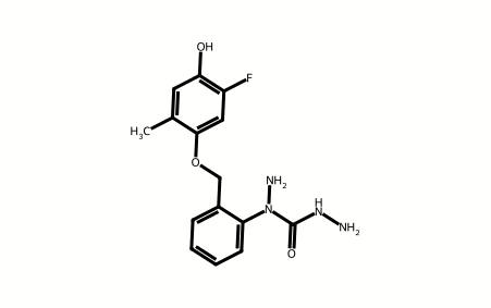 Cc1cc(O)c(F)cc1OCc1ccccc1N(N)C(=O)NN